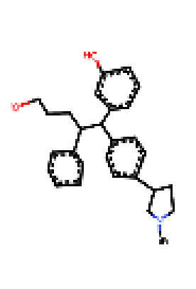 CC(C)N1CCC(c2ccc(C(c3cccc(O)c3)C(CCCO)c3ccccc3)cc2)C1